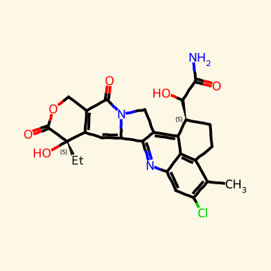 CC[C@@]1(O)C(=O)OCc2c1cc1n(c2=O)Cc2c-1nc1cc(Cl)c(C)c3c1c2[C@@H](C(O)C(N)=O)CC3